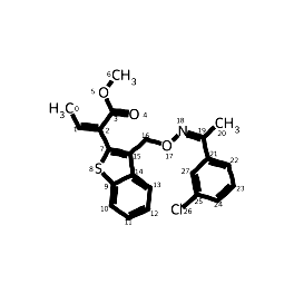 CC=C(C(=O)OC)c1sc2ccccc2c1CON=C(C)c1cccc(Cl)c1